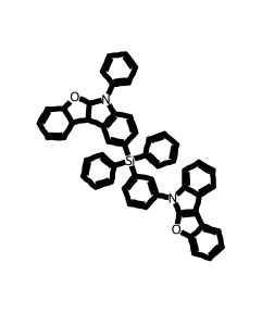 C1=CC2OC3C(c4cc([Si](c5ccccc5)(c5ccccc5)c5cccc(-n6c7ccccc7c7c8ccccc8oc76)c5)ccc4N3c3ccccc3)C2C=C1